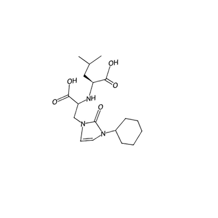 CC(C)C[C@H](NC(Cn1ccn(C2CCCCC2)c1=O)C(=O)O)C(=O)O